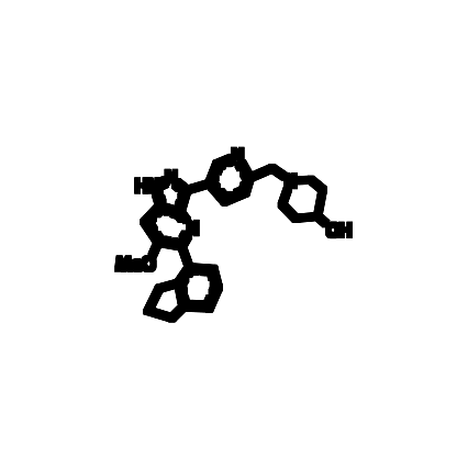 COc1cc2[nH]nc(-c3ccc(CN4CCC(O)CC4)nc3)c2nc1-c1cccc2c1CCC2